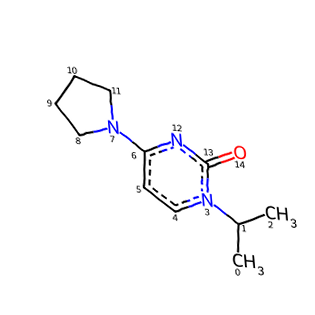 CC(C)n1ccc(N2CCCC2)nc1=O